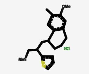 CNCC(CC1CCCc2cc(OC)c(C)cc21)c1cccs1.Cl